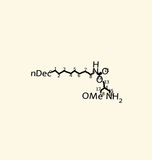 CCCCCCCCCCCCCCCCCCNC(=O)OCC(CN)COC